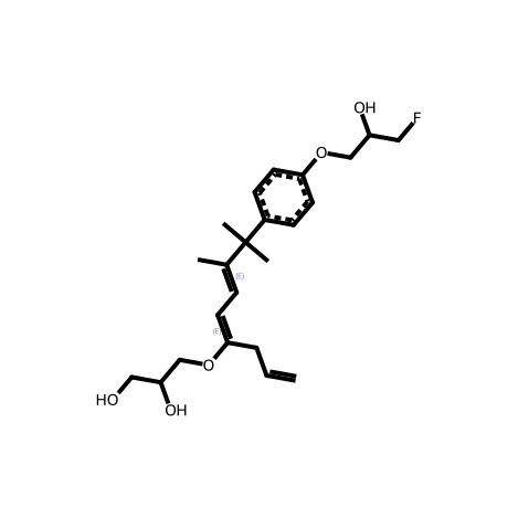 C=CC/C(=C\C=C(/C)C(C)(C)c1ccc(OCC(O)CF)cc1)OCC(O)CO